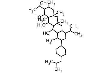 CC(C)CC1CCC(C2CC(C(C)C)C3CC4(C)CC5(C)CC(C)C(C(C)O)C(O)C5(C)C(C)C4C(O)C3C2C)CC1